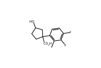 Cc1c(C2(C(=O)O)CCC(O)C2)ccc(F)c1F